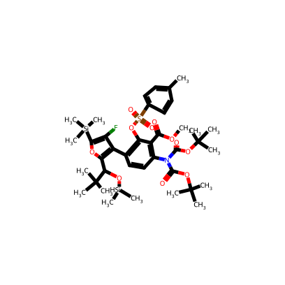 COC(=O)c1c(N(C(=O)OC(C)(C)C)C(=O)OC(C)(C)C)ccc(-c2c(C(O[SiH](C)C)C(C)(C)C)oc([Si](C)(C)C)c2F)c1OS(=O)(=O)c1ccc(C)cc1